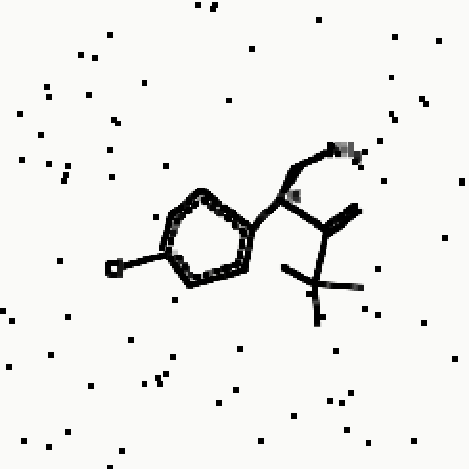 C=C([C@H](CN)c1ccc(Cl)cc1)C(C)(C)C